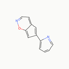 c1ccc(-c2cc3ccnoc-3c2)nc1